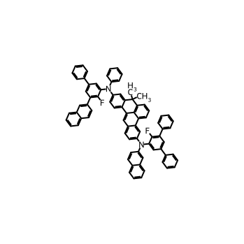 CC1(C)c2cc(N(c3ccccc3)c3cc(-c4ccccc4)cc(-c4ccc5ccccc5c4)c3F)ccc2-c2cc3ccc(N(c4ccc5ccccc5c4)c4cc(-c5ccccc5)cc(-c5ccccc5)c4F)cc3c3cccc1c23